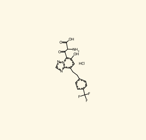 Cl.NC(C(=O)O)C(=O)c1c(O)cc(CCc2ccc(C(F)(F)F)cc2)c2ncnn12